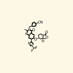 Cc1nc2cc(-c3cn(C(F)F)cn3)c(O[C@H]3CCN4C(=O)OC[C@@H]4C3)cc2c(=O)n1Cc1ccc(C#N)cc1